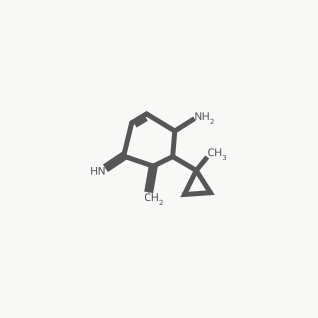 C=C1C(=N)C=CC(N)C1C1(C)CC1